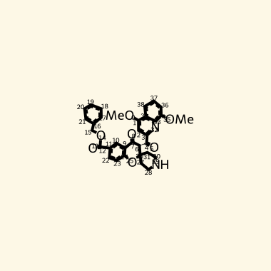 COc1cc(C(=O)[C@H]2C(=O)c3cc(C(=O)OCc4ccccc4)ccc3OC23CCNCC3)nc2c(OC)cccc12